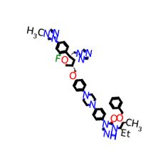 CC[C@H](NC(=O)N(C=N)c1ccc(N2CCN(c3ccc(OC[C@@H]4CO[C@@](Cn5cncn5)(c5ccc(-n6c[n+](C)cn6)cc5F)C4)cc3)CC2)cc1)[C@H](C)OCc1ccccc1